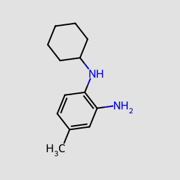 Cc1ccc(NC2CCCCC2)c(N)c1